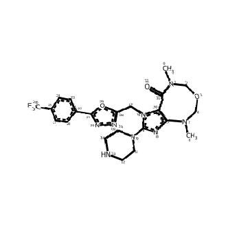 CN1COCN(C)c2nc(N3CCNCC3)n(Cc3nnc(-c4ccc(C(F)(F)F)cc4)o3)c2C1=O